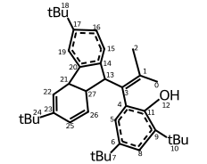 CC(C)=C(c1cc(C(C)(C)C)cc(C(C)(C)C)c1O)C1c2ccc(C(C)(C)C)cc2C2C=C(C(C)(C)C)C=CC21